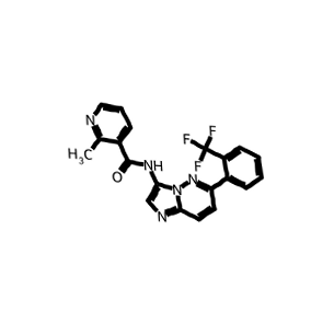 Cc1ncccc1C(=O)Nc1cnc2ccc(-c3ccccc3C(F)(F)F)nn12